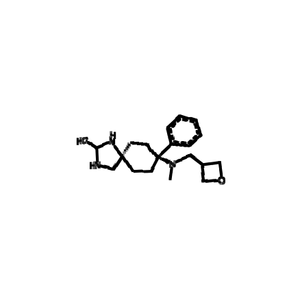 CN(CC1COC1)[C@]1(c2ccccc2)CC[C@]2(CC1)CNC(O)N2